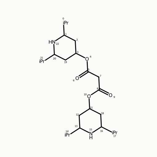 CC(C)C1CC(OC(=O)CC(=O)OC2CC(C(C)C)NC(C(C)C)C2)CC(C(C)C)N1